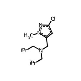 CC(C)CN(Cc1cc(Cl)nn1C)CC(C)C